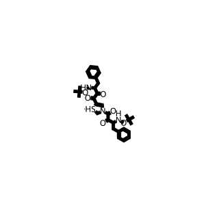 CC(C)(C)ONC(Cc1ccccc1)C(=O)C(=O)C1=CN(C(=O)C(=O)C(Cc2ccccc2)NOC(C)(C)C)C[SH]1